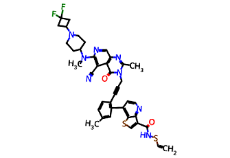 C=CSNC(=O)c1csc2c(-c3cc(C)ccc3C#CCn3c(C)nc4cnc(N(C)C5CCN(C6CC(F)(F)C6)CC5)c(C#N)c4c3=O)ccnc12